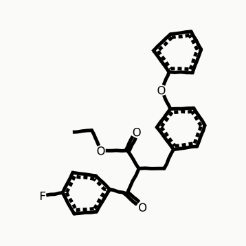 CCOC(=O)C(Cc1cccc(Oc2ccccc2)c1)C(=O)c1ccc(F)cc1